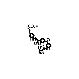 Cc1ccsc1C(=O)Nc1cccc(C(=O)c2ccc3c(c2)NC(=O)/C3=C\Nc2ccc(CCCC(=O)O)cc2)c1